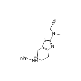 C#CCN(C)c1nc2c(s1)C[C@@H](NCCC)CC2